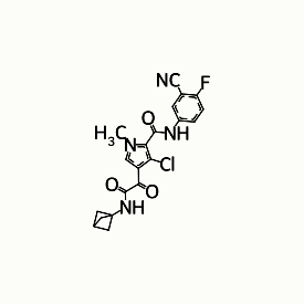 Cn1cc(C(=O)C(=O)NC23CC(C2)C3)c(Cl)c1C(=O)Nc1ccc(F)c(C#N)c1